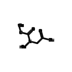 CCCCN(CC(=O)C(C)CC)C(=O)OC(C)(C)C